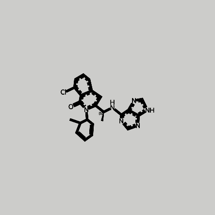 CC1C=CC=CC1n1c([C@H](C)Nc2ncnc3[nH]cnc23)cc2cccc(Cl)c2c1=O